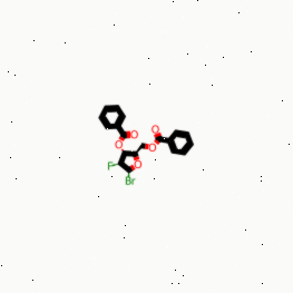 O=C(OC[C@H]1O[C@H](Br)[C@H](F)[C@@H]1OC(=O)c1ccccc1)c1ccccc1